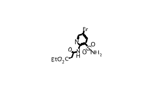 CCOC(=O)CC(=O)Nc1ncc(Br)cc1S(N)(=O)=O